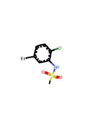 CCc1ccc(Cl)c(NS(C)(=O)=O)c1